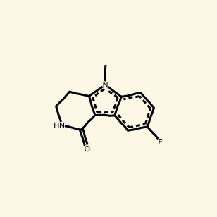 Cn1c2c(c3cc(F)ccc31)C(=O)NCC2